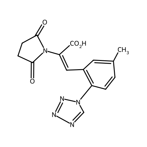 Cc1ccc(-n2cnnn2)c(C=C(C(=O)O)N2C(=O)CCC2=O)c1